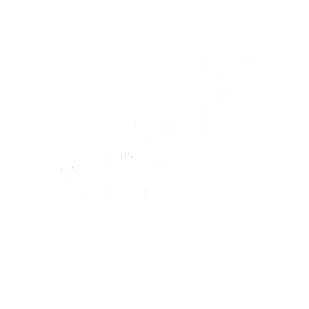 Cc1cc(S(=O)(=O)Nc2ccccc2S(N)(=O)=O)ccc1OC(=O)C(C)(C)C